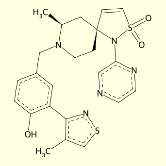 Cc1csnc1-c1cc(CN2CC[C@]3(C=CS(=O)(=O)N3c3cnccn3)C[C@@H]2C)ccc1O